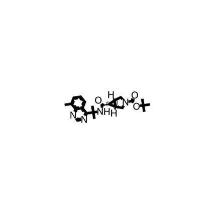 Cc1cccc2c(C(C)(C)NC(=O)[C@H]3[C@@H]4CN(C(=O)OC(C)(C)C)C[C@@H]43)ncnc12